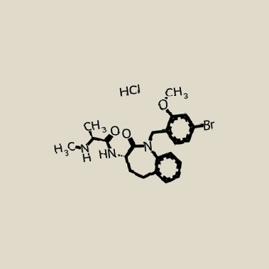 CN[C@@H](C)C(=O)N[C@H]1CCc2ccccc2N(Cc2ccc(Br)cc2OC)C1=O.Cl